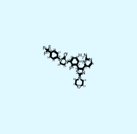 Nc1nccc(-c2nc(N3CCOCC3)sc2-c2cccc(N3CCN(c4ccc(C(F)(F)F)cc4)C3=O)c2F)n1